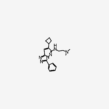 CN(C)CCNc1nn2c(-c3ccccc3)nnc2cc1C1CCC1